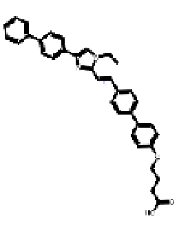 CCn1cc(-c2ccc(-c3ccccc3)cc2)nc1/C=C/c1ccc(-c2ccc(OCCCC(=O)O)cc2)cc1